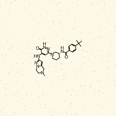 CN1CCn2nc(Nc3cc(N4CCC[C@@H](NC(=O)c5ccc(C(C)(C)C)cc5)C4)n[nH]c3=O)cc2C1